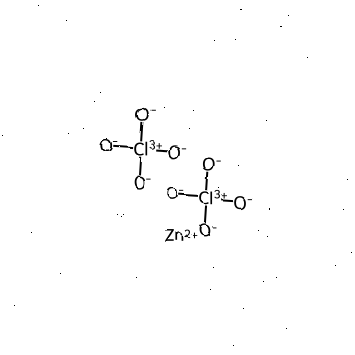 [O-][Cl+3]([O-])([O-])[O-].[O-][Cl+3]([O-])([O-])[O-].[Zn+2]